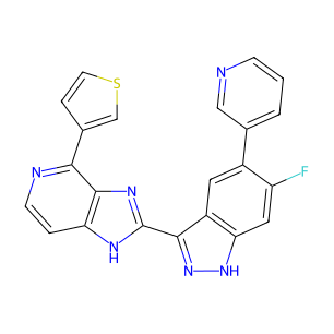 Fc1cc2[nH]nc(-c3nc4c(-c5ccsc5)nccc4[nH]3)c2cc1-c1cccnc1